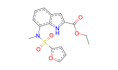 CCOC(=O)c1cc2cccc(N(C)S(=O)(=O)c3ccco3)c2[nH]1